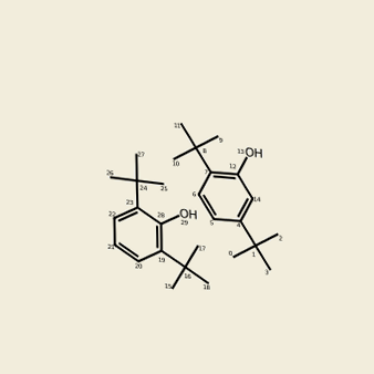 CC(C)(C)c1ccc(C(C)(C)C)c(O)c1.CC(C)(C)c1cccc(C(C)(C)C)c1O